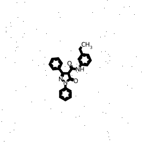 CCc1cccc(NC(=O)C2C(=O)N(c3ccccc3)N=C2c2ccccc2)c1